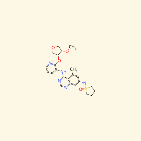 CO[C@H]1COC[C@@H]1Oc1ncccc1Nc1ncnc2cc(N=S3(=O)CCCC3)cc(C)c12